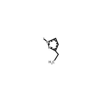 CCc1ccn(I)n1